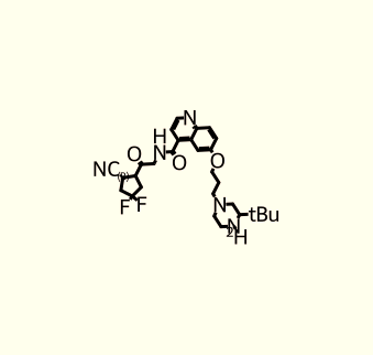 [2H]N1CCN(CCCOc2ccc3nccc(C(=O)NCC(=O)C4CC(F)(F)C[C@H]4C#N)c3c2)CC1C(C)(C)C